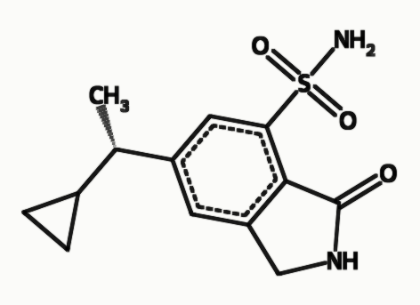 C[C@H](c1cc2c(c(S(N)(=O)=O)c1)C(=O)NC2)C1CC1